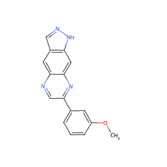 COc1cccc(-c2cnc3cc4cn[nH]c4cc3n2)c1